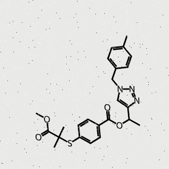 COC(=O)C(C)(C)Sc1ccc(C(=O)OC(C)c2cn(Cc3ccc(C)cc3)nn2)cc1